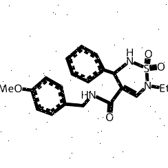 CCN1C=C(C(=O)NCc2ccc(OC)cc2)C(c2ccccc2)NS1(=O)=O